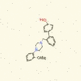 COc1ccccc1N1CCN(Cc2ccccc2-c2ccc(O)cc2)CC1